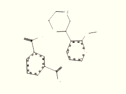 CNc1ncccc1C1CNCCO1.O=C(O)c1cccc(C(=O)O)c1